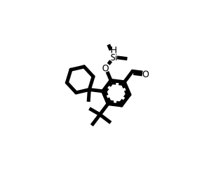 C[SiH](C)Oc1c(C=O)ccc(C(C)(C)C)c1C1(C)CCCCC1